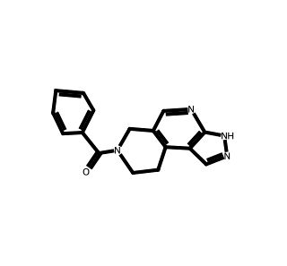 O=C(c1ccccc1)N1CCc2c(cnc3[nH]ncc23)C1